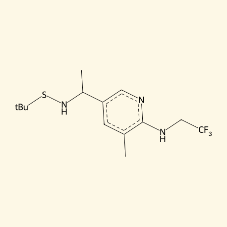 Cc1cc(C(C)NSC(C)(C)C)cnc1NCC(F)(F)F